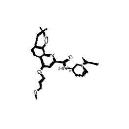 COCCCOc1cc(C(=O)N[C@@H]2CCCN(C(C)C)C2)nc2c3c(ccc12)CC(C)(C)O3